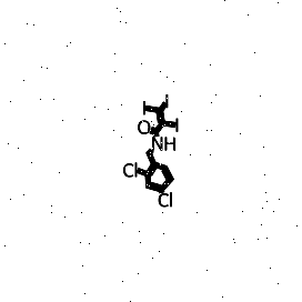 O=C(NCc1ccc(Cl)cc1Cl)C(I)=C(I)I